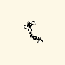 CCCC(=O)c1ccc(OCCN2CCN(c3cc(Cl)nnc3Cl)CC2)cc1